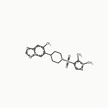 Cc1c(S(=O)(=O)N2CCC(c3cn4ncnc4cc3C(F)(F)F)CC2)cnn1C